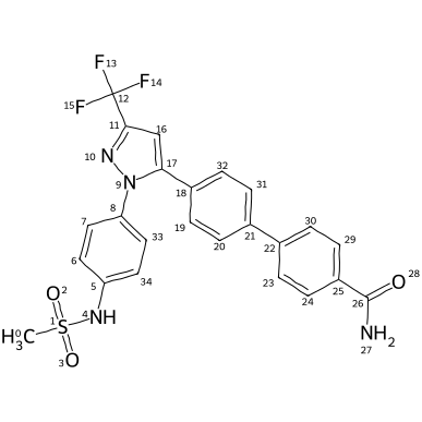 CS(=O)(=O)Nc1ccc(-n2nc(C(F)(F)F)cc2-c2ccc(-c3ccc(C(N)=O)cc3)cc2)cc1